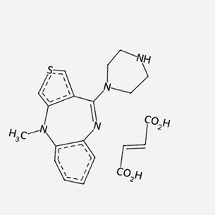 CN1c2ccccc2N=C(N2CCNCC2)c2cscc21.O=C(O)C=CC(=O)O